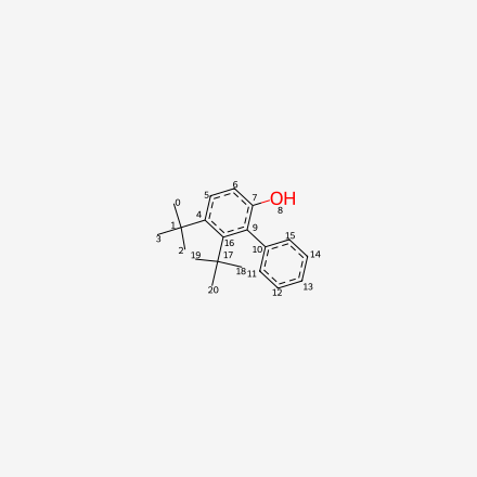 CC(C)(C)c1ccc(O)c(-c2ccccc2)c1C(C)(C)C